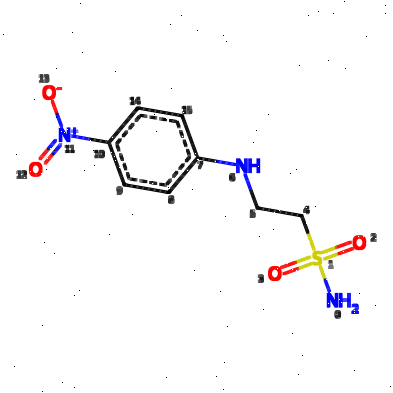 NS(=O)(=O)CCNc1ccc([N+](=O)[O-])cc1